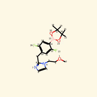 COCCn1ccnc1Cc1cc(F)c(B2OC(C)(C)C(C)(C)O2)cc1F